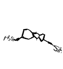 [SiH3]C#Cc1ccc2[c]c3ccc(C#C[SiH3])cc3[c]c2c1